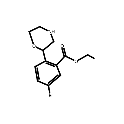 CCOC(=O)c1cc(Br)ccc1C1CNCCO1